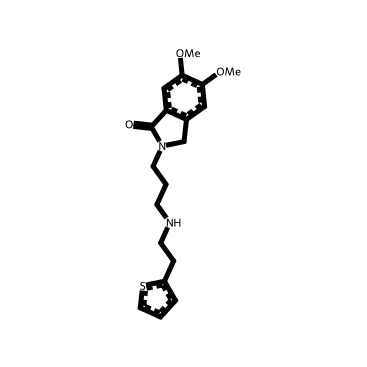 COc1cc2c(cc1OC)C(=O)N(CCCNCCc1cccs1)C2